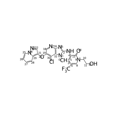 Cn1c(Nc2cc(C(F)(F)F)cn(CCO)c2=O)nc2ncc(Oc3cnn4ccccc34)c(Cl)c21